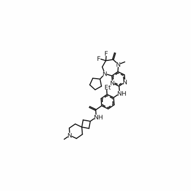 C=C(NC1CC2(CCN(C)CC2)C1)c1ccc(Nc2ncc3c(n2)N(C2CCCC2)CC(F)(F)C(=C)N3C)c(CC)c1